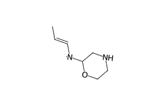 C/C=C/[N]C1CNCCO1